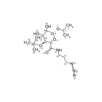 CC(C)O[C@@H]1OC(C(=O)NCCCN=[N+]=[N-])[C@@H](OC(C)(C)C)C(O)C1O